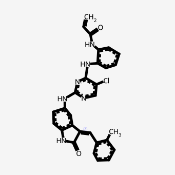 C=CC(=O)Nc1ccccc1Nc1nc(Nc2ccc3c(c2)/C(=C/c2ccccc2C)C(=O)N3)ncc1Cl